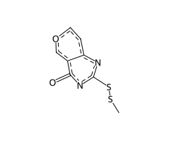 CSSc1nc2ccocc-2c(=O)n1